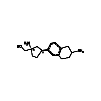 NC1CCc2cc([C@H]3CC[C@@](N)(CO)C3)ccc2C1